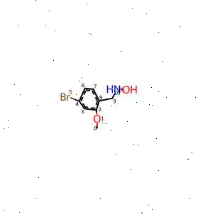 COc1cc(Br)ccc1CNO